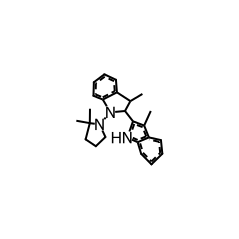 Cc1c(C2C(C)c3ccccc3N2N2CCCC2(C)C)[nH]c2ccccc12